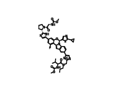 CCCN(Cc1ncc(-c2ccc3c(c2)cc2n3[C@H](c3cnc(C4CC4)s3)Oc3cc(-c4cnc([C@@H]5CCCN5C(=O)CNC(=O)OC)[nH]4)cc(F)c3-2)[nH]1)C(=O)C(NC(=O)OC)C(C)C